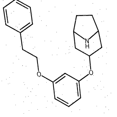 c1ccc(CCOc2cccc(OC3CC4CCC(C3)N4)c2)cc1